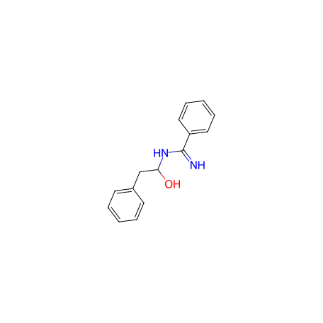 N=C(NC(O)Cc1ccccc1)c1ccccc1